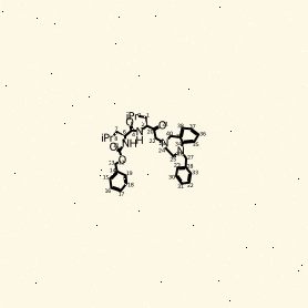 CC(C)C[C@H](NC(=O)[C@H](CC(C)C)NC(=O)OCc1ccccc1)C(=O)CN1CCN(Cc2ccccc2)c2ccccc2C1